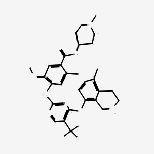 COc1cc(C(=O)NC2CCN(C)CC2)c(F)cc1Nc1ncc(C(F)(F)F)c(Oc2ccc(C)c3c2COCC3)n1